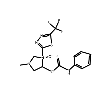 CN1CC(OC(=S)Nc2ccccc2)[N+]([O-])(c2nnc(C(F)(F)F)s2)C1